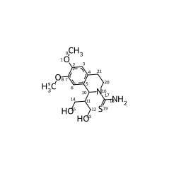 COc1cc2c(cc1OC)C(C(CO)CO)N(C(N)=S)CC2